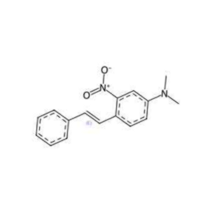 CN(C)c1ccc(/C=C/c2ccccc2)c([N+](=O)[O-])c1